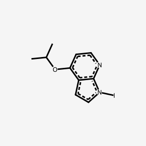 CC(C)Oc1ccnc2c1ccn2I